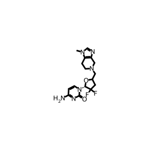 Cn1cnc2c1CCN(CC1CC(F)(F)[C@H](n3ccc(N)nc3=O)O1)C2